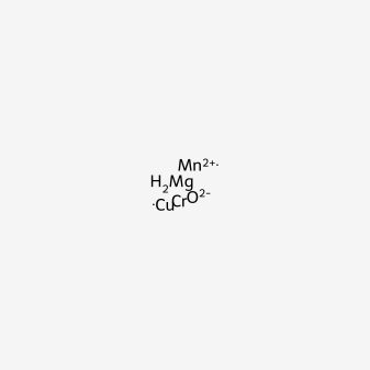 [Cr].[Cu].[MgH2].[Mn+2].[O-2]